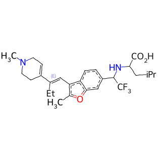 CC/C(=C\c1c(C)oc2cc(C(NC(CC(C)C)C(=O)O)C(F)(F)F)ccc12)C1=CCN(C)CC1